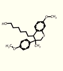 COc1ccc(C2(C)CSc3cc(OC)ccc3C2CCCCCCO)cc1